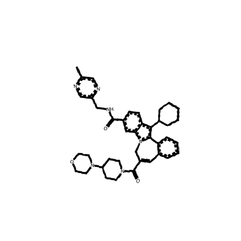 Cc1cnc(CNC(=O)c2ccc3c(C4CCCCC4)c4n(c3c2)CC(C(=O)N2CCC(N3CCOCC3)CC2)=Cc2ccccc2-4)cn1